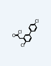 O=C(Cl)Cc1cc(-c2ccc(Cl)cc2)ccc1Cl